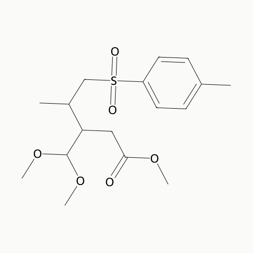 COC(=O)CC(C(C)CS(=O)(=O)c1ccc(C)cc1)C(OC)OC